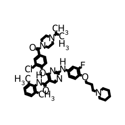 Cc1cccc(C)c1NC(=O)c1cnc(Nc2ccc(OCCCN3CCCCC3)c(F)c2)nc1Oc1ccc(C(=O)N2CCN(C(C)C)CC2)cc1Cl